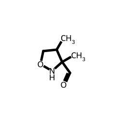 CC1CONC1(C)C=O